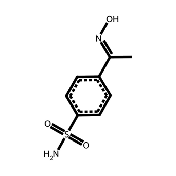 CC(=NO)c1ccc(S(N)(=O)=O)cc1